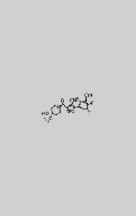 N#Cc1c(C(=O)N2CCC(O)(C(F)(F)F)CC2)noc1-c1cc(F)c(F)c(O)c1F